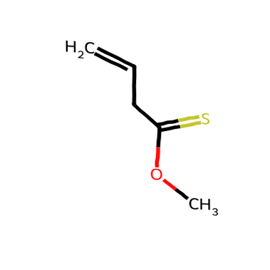 C=CCC(=S)OC